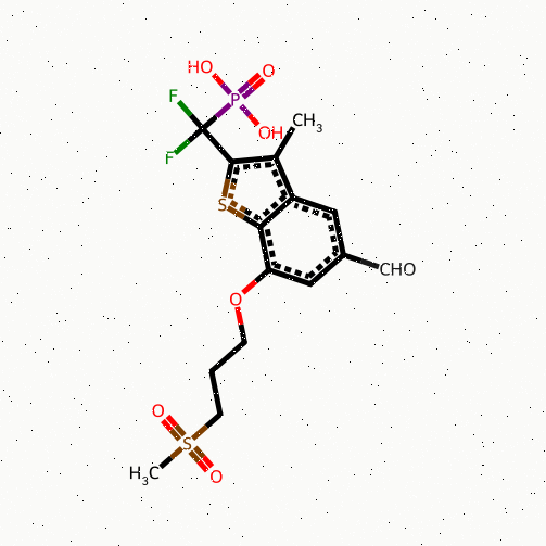 Cc1c(C(F)(F)P(=O)(O)O)sc2c(OCCCS(C)(=O)=O)cc(C=O)cc12